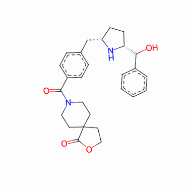 O=C(c1ccc(C[C@@H]2CC[C@H](C(O)c3ccccc3)N2)cc1)N1CCC2(CCOC2=O)CC1